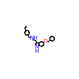 C=Cc1ccc(CNCCc2c[nH]c3ccc(OCc4ccccc4)cc23)cc1